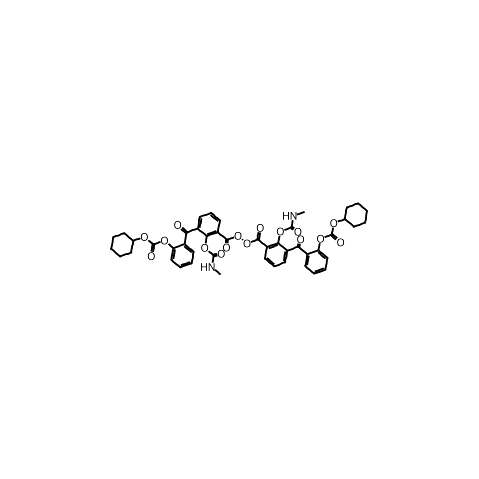 CNC(=O)Oc1c(C(=O)OOC(=O)c2cccc(C(=O)c3ccccc3OC(=O)OC3CCCCC3)c2OC(=O)NC)cccc1C(=O)c1ccccc1OC(=O)OC1CCCCC1